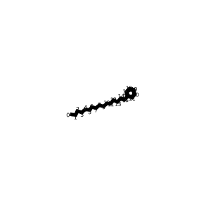 CCCCCCCCCCCCCCC=Cc1[c]cccc1